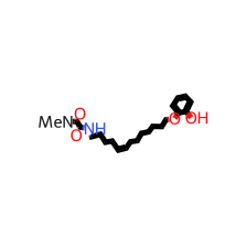 CNC(=O)C(=O)NCCCC/C=C\CCCCCCCOc1ccccc1O